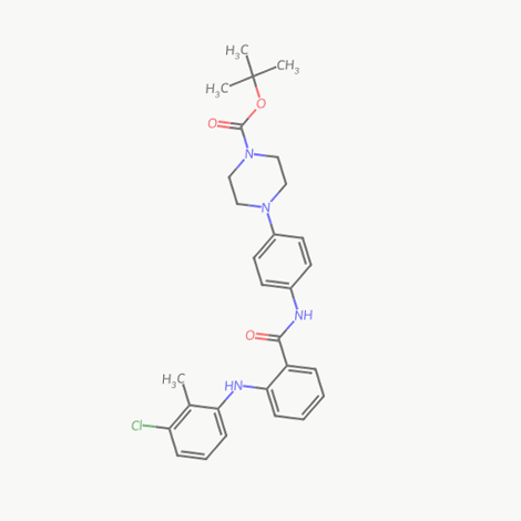 Cc1c(Cl)cccc1Nc1ccccc1C(=O)Nc1ccc(N2CCN(C(=O)OC(C)(C)C)CC2)cc1